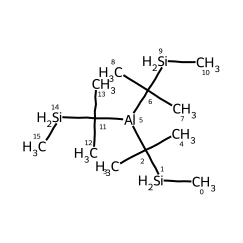 C[SiH2][C](C)(C)[Al]([C](C)(C)[SiH2]C)[C](C)(C)[SiH2]C